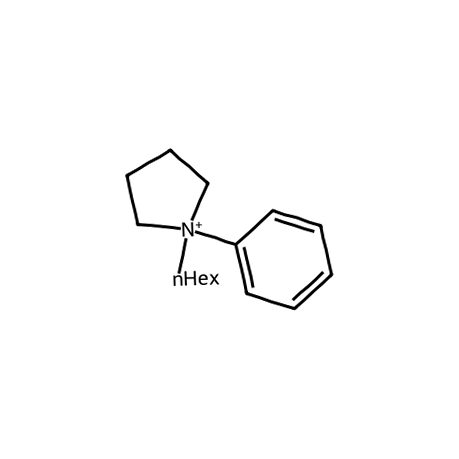 CCCCCC[N+]1(c2ccccc2)CCCC1